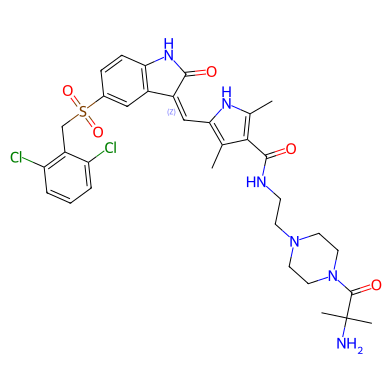 Cc1[nH]c(/C=C2\C(=O)Nc3ccc(S(=O)(=O)Cc4c(Cl)cccc4Cl)cc32)c(C)c1C(=O)NCCN1CCN(C(=O)C(C)(C)N)CC1